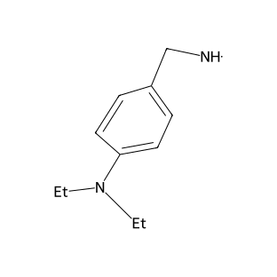 CCN(CC)c1ccc(C[NH])cc1